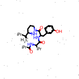 C=C(C(C)C)C1CCCN(C(=O)C(Cc2cccc(O)c2)NC(=O)C(NC(=O)C(C)C)C(C)C)N1